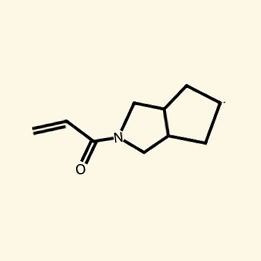 C=CC(=O)N1CC2C[CH]CC2C1